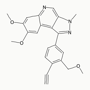 C#Cc1ccc(-c2nn(C)c3cnc4cc(OC)c(OC)cc4c23)cc1COC